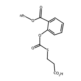 CCCOC(=O)c1ccccc1OC(=O)SCCC(=O)O